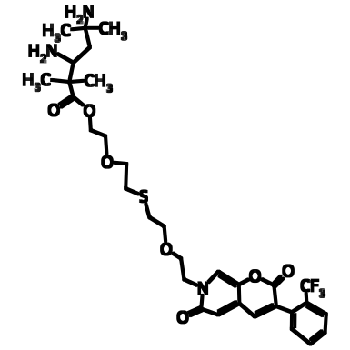 CC(C)(N)CC(N)C(C)(C)C(=O)OCCOCCSCCOCCn1cc2oc(=O)c(-c3ccccc3C(F)(F)F)cc2cc1=O